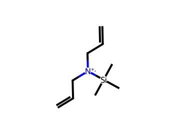 C=CC[N+](CC=C)[Si](C)(C)C